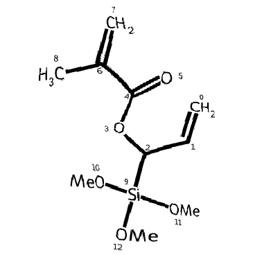 C=CC(OC(=O)C(=C)C)[Si](OC)(OC)OC